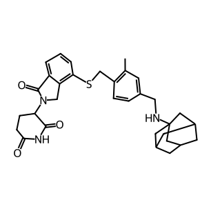 Cc1cc(CNC23CC4CC(CC(C4)C2)C3)ccc1CSc1cccc2c1CN(C1CCC(=O)NC1=O)C2=O